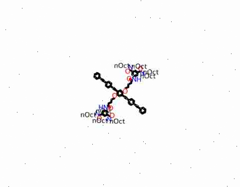 CCCCCCCCN(CCCCCCCC)C(=O)c1cc(NC(=O)CCCCOc2cc(C#Cc3ccc(C#Cc4ccccc4)cc3)c(OCCCCC(=O)Nc3cc(C(=O)N(CCCCCCCC)CCCCCCCC)cc(C(=O)N(CCCCCCCC)CCCCCCCC)c3)cc2C#Cc2ccc(C#Cc3ccccc3)cc2)cc(C(=O)N(CCCCCCCC)CCCCCCCC)c1